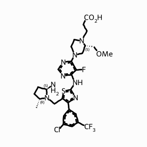 COC[C@@H]1CN(c2ncnc(Nc3nc(-c4cc(Cl)cc(C(F)(F)F)c4)c(CN4[C@H](C)CC[C@H]4N)s3)c2F)CCN1CCC(=O)O